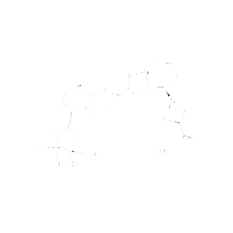 COC(=O)C1CN([C@@H]2CCCn3nc(C(=O)Nc4cccc(B5OC(C)(C)C(C)(C)O5)c4Cl)cc32)C1